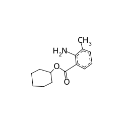 Cc1cccc(C(=O)OC2CCCCC2)c1N